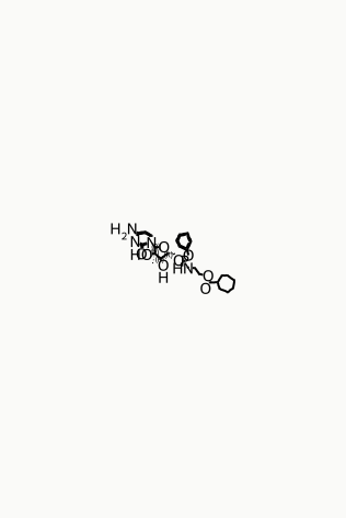 C[C@@]1(O)[C@H](O)[C@@H](COP(NCCOC(=O)C2CCCCCC2)Oc2ccccc2)O[C@H]1n1ccc(N)nc1=O